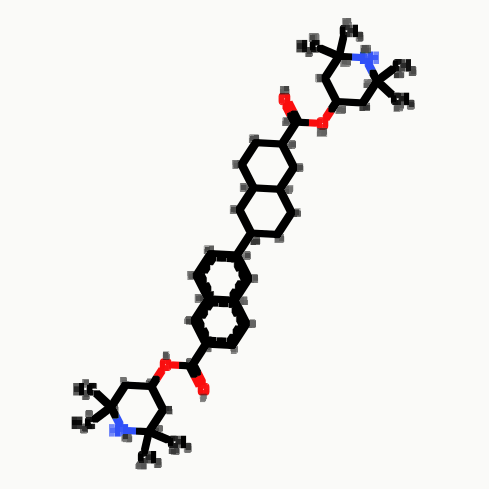 CC1(C)CC(OC(=O)c2ccc3cc(C4CCC5CC(C(=O)OC6CC(C)(C)NC(C)(C)C6)CCC5C4)ccc3c2)CC(C)(C)N1